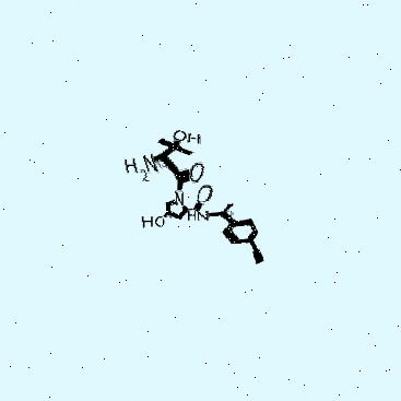 C#Cc1ccc([C@H](C)NC(=O)[C@@H]2C[C@@H](O)CN2C(=O)[C@@H](N)C(C)(C)O)cc1